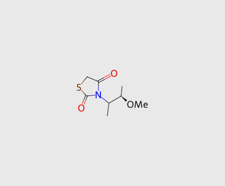 CO[C@H](C)C(C)N1C(=O)CSC1=O